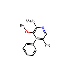 CCOc1c(OC)ncc(C#N)c1-c1ccccc1